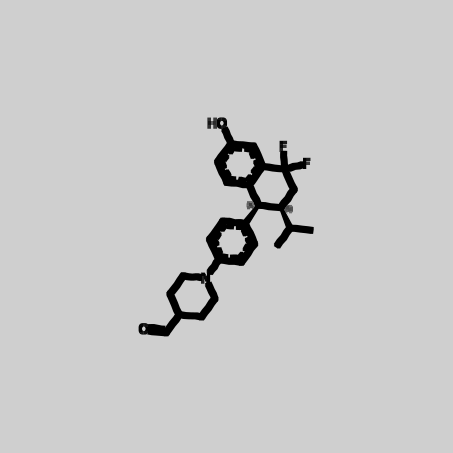 CC(C)[C@@H]1CC(F)(F)c2cc(O)ccc2[C@@H]1c1ccc(N2CCC(C=O)CC2)cc1